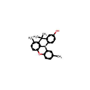 Cc1ccc2c(c1)B1c3ccc(O)cc3C(C)(C)c3c(C)ccc(c31)O2